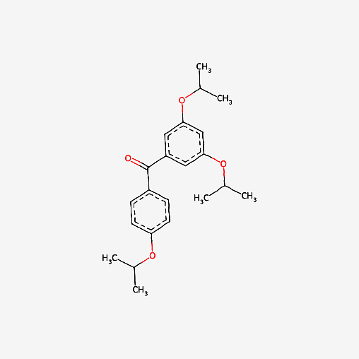 CC(C)Oc1ccc(C(=O)c2cc(OC(C)C)cc(OC(C)C)c2)cc1